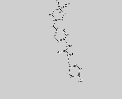 O=C(NCc1ccc(Cl)cc1)Nc1ccc(CN2CCS(=O)(=O)CC2)cc1